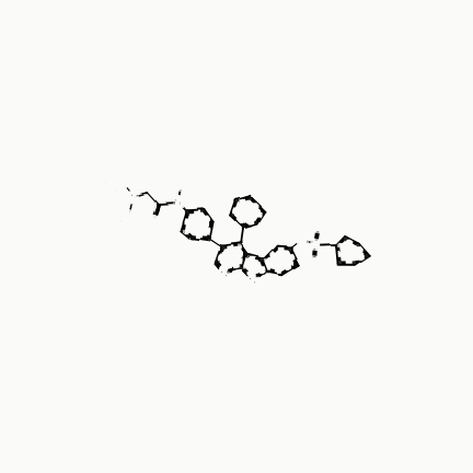 CN(C)CC(=O)N(C)c1ccc(-c2cnc3[nH]c4ccc(OS(=O)(=O)c5ccccc5)cc4c3c2-c2ccccc2)cc1